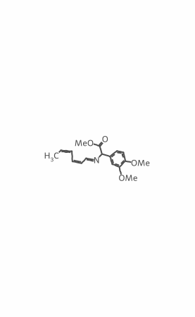 C\C=C/C=C\C=N\C(C(=O)OC)c1ccc(OC)c(OC)c1